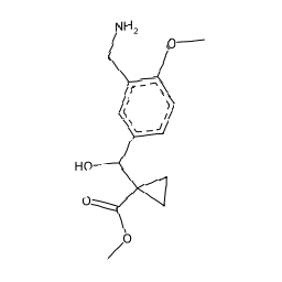 COC(=O)C1(C(O)c2ccc(OC)c(CN)c2)CC1